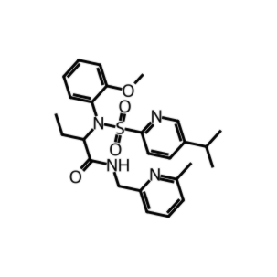 CCC(C(=O)NCc1cccc(C)n1)N(c1ccccc1OC)S(=O)(=O)c1ccc(C(C)C)cn1